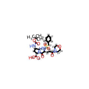 CC(C)(C)OC(=O)N[C@H]1C[C@@H](C(=O)O)N(C(=O)[C@@H](CCC(=O)N2CCOCC2)NS(=O)(=O)Cc2ccccc2)C1